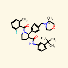 Cc1cccc(F)c1C(=O)N1CCCC(C(=O)Nc2cccc(C(C)(C)C)c2)C1c1ccc(CN2CCOC[C@@H]2C)cc1